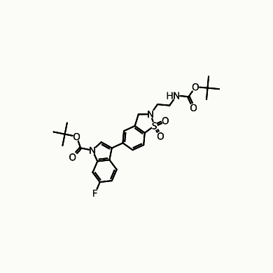 CC(C)(C)OC(=O)NCCN1Cc2cc(-c3cn(C(=O)OC(C)(C)C)c4cc(F)ccc34)ccc2S1(=O)=O